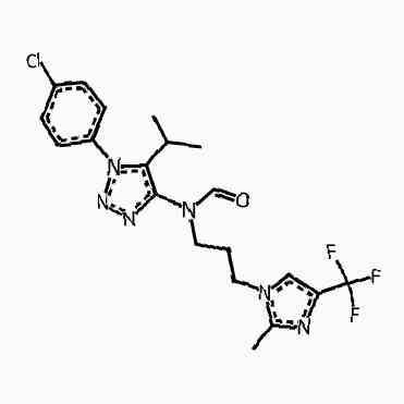 Cc1nc(C(F)(F)F)cn1CCCN(C=O)c1nnn(-c2ccc(Cl)cc2)c1C(C)C